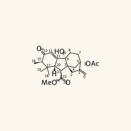 C=C1C[C@]23C[C@@]1(OC(C)=O)CC[C@]2(O)C1=CC(=O)[C@H](C)C(C)(C)[C@H]1[C@@H]3C(=O)OC